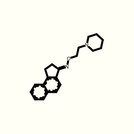 c1ccc2c3c(ccc2c1)C(=NOCCN1CCCCC1)CC3